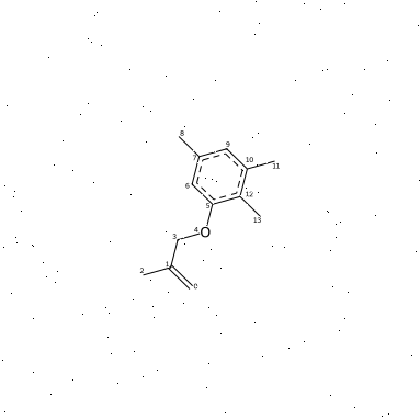 C=C(C)COc1cc(C)cc(C)c1C